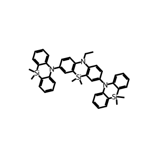 CCN1c2ccc(N3c4ccccc4[Si](C)(C)c4ccccc43)cc2[Si](C)(C)c2cc(N3c4ccccc4[Si](C)(C)c4ccccc43)ccc21